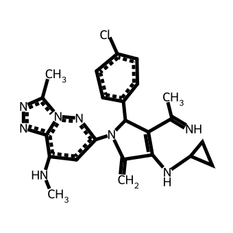 C=C1C(NC2CC2)=C(C(C)=N)C(c2ccc(Cl)cc2)N1c1cc(NC)c2nnc(C)n2n1